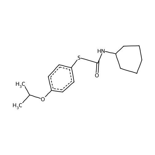 CC(C)Oc1ccc(SC(=O)NC2CCCCC2)cc1